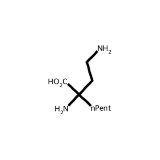 CCCCCC(N)(CCN)C(=O)O